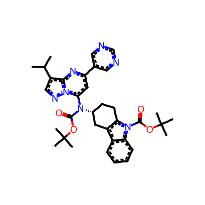 CC(C)c1cnn2c(N(C(=O)OC(C)(C)C)[C@@H]3CCc4c(c5ccccc5n4C(=O)OC(C)(C)C)C3)cc(-c3cncnc3)nc12